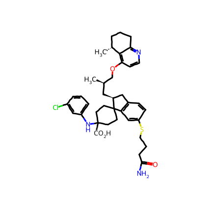 C[C@@H](COc1ccnc2c1[C@H](C)CCC2)C[C@H]1Cc2ccc(SCCCC(N)=O)cc2C12CCC(Nc1cccc(Cl)c1)(C(=O)O)CC2